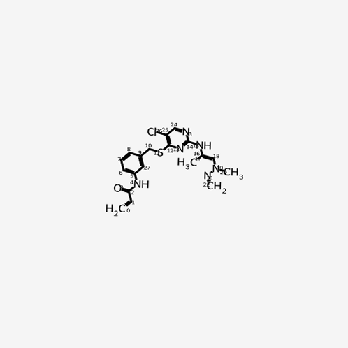 C=CC(=O)Nc1cccc(CSc2nc(N/C(C)=C/N(C)N=C)ncc2Cl)c1